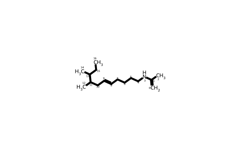 C=C(C)NCCCC/C=C/CC(C)C(C)CC